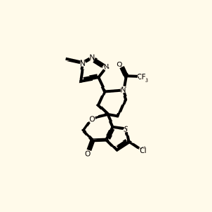 Cn1cc(C2CC3(CCN2C(=O)C(F)(F)F)OCC(=O)c2cc(Cl)sc23)nn1